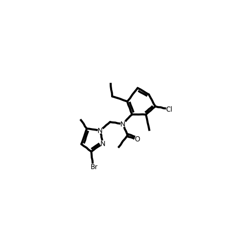 CCc1ccc(Cl)c(C)c1N(Cn1nc(Br)cc1C)C(C)=O